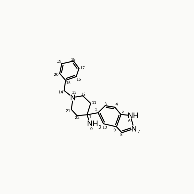 NC1(c2ccc3[nH]ncc3c2)CCN(Cc2ccccc2)CC1